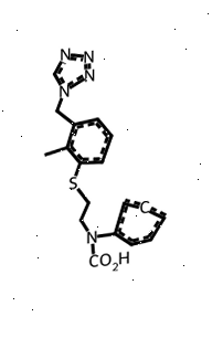 Cc1c(Cn2cnnn2)cccc1SCCN(C(=O)O)c1ccccc1